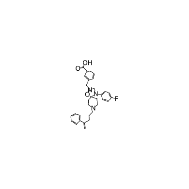 C=C(CCCN1CCC2(CC1)ON(Cc1cccc(C(=O)O)c1)CN2c1ccc(F)cc1)c1ccccc1